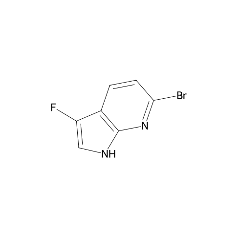 Fc1c[nH]c2nc(Br)ccc12